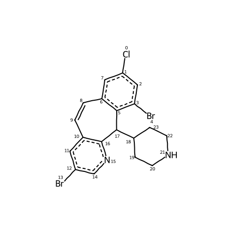 Clc1cc(Br)c2c(c1)C=Cc1cc(Br)cnc1C2C1CCNCC1